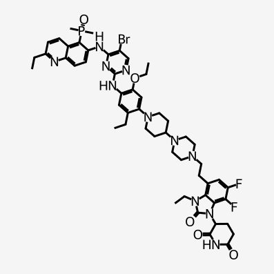 CCOc1cc(N2CCC(N3CCN(CCc4cc(F)c(F)c5c4n(CC)c(=O)n5C4CCC(=O)NC4=O)CC3)CC2)c(CC)cc1Nc1ncc(Br)c(Nc2ccc3nc(CC)ccc3c2P(C)(C)=O)n1